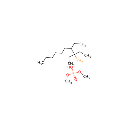 CCCCCCC(CC)C(P)(CC)CC.COP(=O)(O)OC